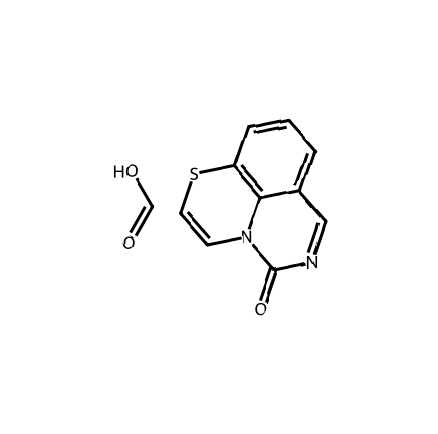 O=CO.O=c1ncc2cccc3c2n1C=CS3